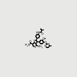 C=C(C)C(=O)Nc1ccc(-c2sc3c(C(N)=O)cnc(N)c3c2-c2ccc(Oc3nccc(C)n3)c(OC)c2)cc1